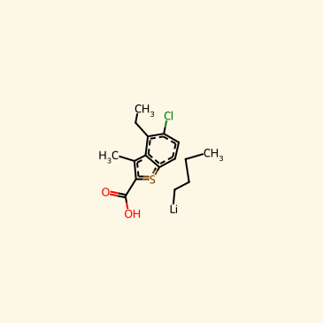 CCc1c(Cl)ccc2sc(C(=O)O)c(C)c12.[Li][CH2]CCC